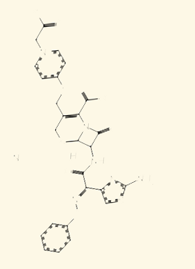 Nc1nc(/C(=N\Oc2ccccc2)C(=O)NC2C(=O)N3C(C(=O)[O-])=C(CSc4cc[n+](CC(=O)[O-])cc4)CS[C@H]23)cs1.[Na+]